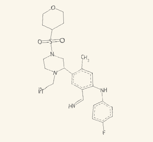 Cc1cc(Nc2ccc(F)cc2)c(C=N)cc1C1CN(S(=O)(=O)C2CCOCC2)CCN1CC(C)C